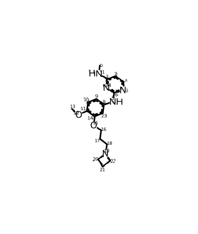 CNc1ccnc(Nc2ccc(OC)c(OCCCN3CCC3)c2)n1